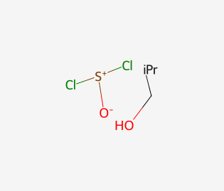 CC(C)CO.[O-][S+](Cl)Cl